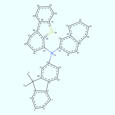 CC1(C)c2ccccc2-c2ccc(N(c3ccc4ccccc4c3)c3cccc4c3sc3ccccc34)cc21